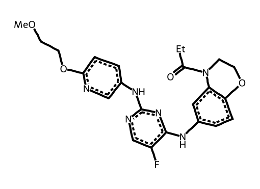 CCC(=O)N1CCOc2ccc(Nc3nc(Nc4ccc(OCCOC)nc4)ncc3F)cc21